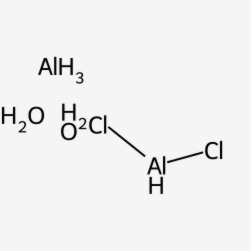 O.O.[AlH3].[Cl][AlH][Cl]